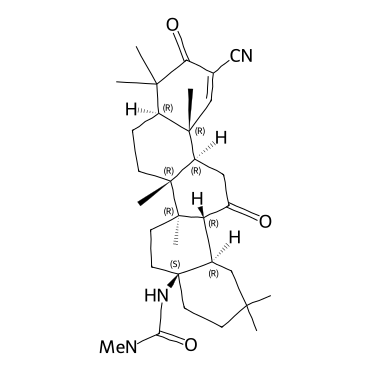 CNC(=O)N[C@]12CCC(C)(C)C[C@@H]1[C@H]1C(=O)C[C@@H]3[C@@]4(C)C=C(C#N)C(=O)C(C)(C)[C@@H]4CC[C@@]3(C)[C@]1(C)CC2